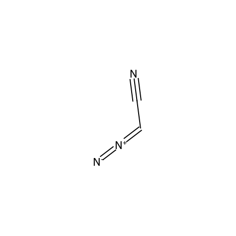 N#CC=[N+]=[N-]